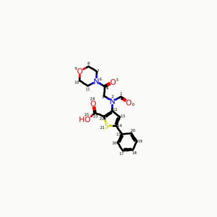 O=CN(CC(=O)N1CCOCC1)c1cc(-c2ccccc2)sc1C(=O)O